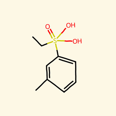 CCS(=O)(O)(O)c1cccc(C)c1